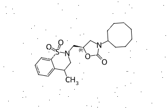 CC1CN(C[C@H]2CN(C3CCCCCCC3)C(=O)O2)S(=O)(=O)c2ccccc21